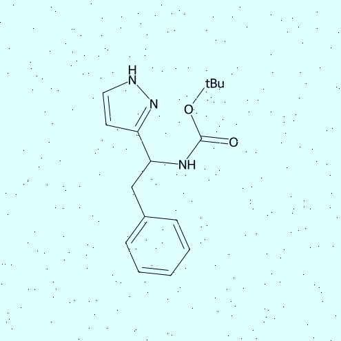 CC(C)(C)OC(=O)NC(Cc1ccccc1)c1cc[nH]n1